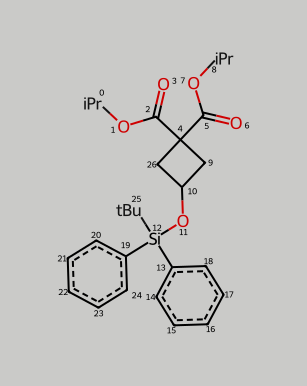 CC(C)OC(=O)C1(C(=O)OC(C)C)CC(O[Si](c2ccccc2)(c2ccccc2)C(C)(C)C)C1